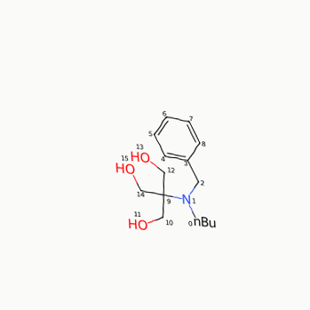 CCCCN(Cc1ccccc1)C(CO)(CO)CO